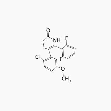 COc1ccc(Cl)c(C2=C(c3c(F)cccc3F)NC(=O)CC2)c1